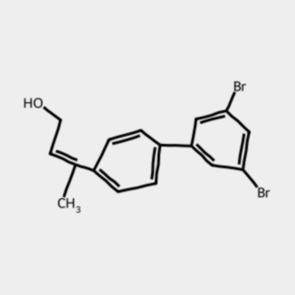 C/C(=C/CO)c1ccc(-c2cc(Br)cc(Br)c2)cc1